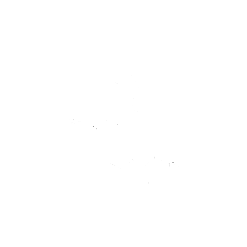 CON(Cc1ccc(C(=O)OC(C)(C)C)cc1)C(=O)C=C1OC(C)(C)OC1=O